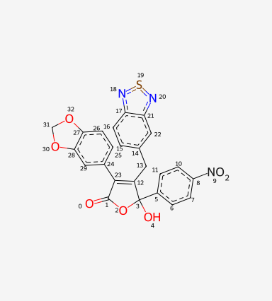 O=C1OC(O)(c2ccc([N+](=O)[O-])cc2)C(Cc2ccc3nsnc3c2)=C1c1ccc2c(c1)OCO2